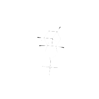 CC(C)(C)B1O[C@@]2(C)C[C@H]3C[C@H](C3(C)C)[C@@]2(C)O1